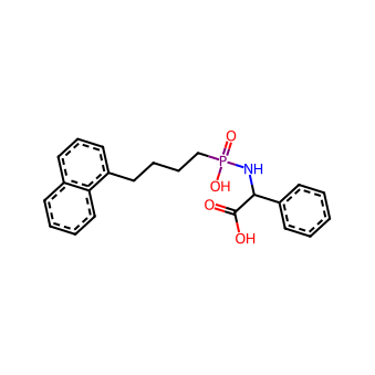 O=C(O)C(NP(=O)(O)CCCCc1cccc2ccccc12)c1ccccc1